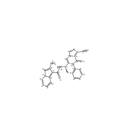 C#Cc1ccn2nc([C@@H](C)NC(=O)c3c(N)nn4cccnc34)n(-c3ccccc3)c(=O)c12